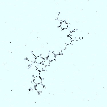 O=C(CN(CCNC(=O)c1ccc(B(O)O)c(F)c1)C(=O)c1ccc(B(O)O)c(F)c1)NCCCC[C@H](NC(=O)c1ccc(CF)cc1)C(=O)O